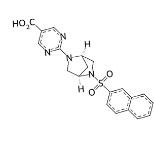 O=C(O)c1cnc(N2C[C@H]3C[C@@H]2CN3S(=O)(=O)c2ccc3ccccc3c2)nc1